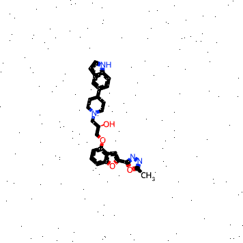 Cc1nnc(-c2cc3c(OC[C@@H](O)CN4CCC(c5ccc6[nH]ccc6c5)CC4)cccc3o2)o1